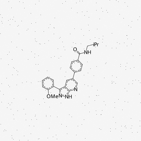 COc1ccccc1-c1n[nH]c2ncc(-c3ccc(C(=O)NCC(C)C)cc3)cc12